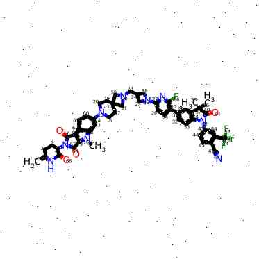 C=C1CCC(N2C(=O)c3c(n(C)c4cc(N5CCC6(CC5)CN(CC5CN(c7ccc(-c8ccc9c(c8)C(C)(C)C(=O)N9c8ccc(C#N)c(C(F)(F)F)c8)c(F)n7)C5)C6)ccc34)C2=O)C(=O)N1